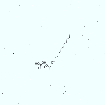 CCCCCCCCCCCCOCC(C)OOP(=O)(O)O